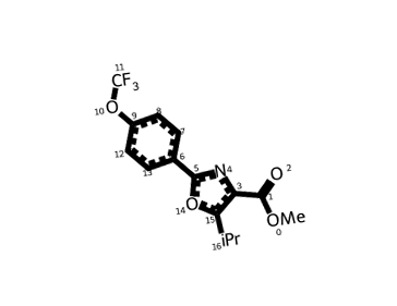 COC(=O)c1nc(-c2ccc(OC(F)(F)F)cc2)oc1C(C)C